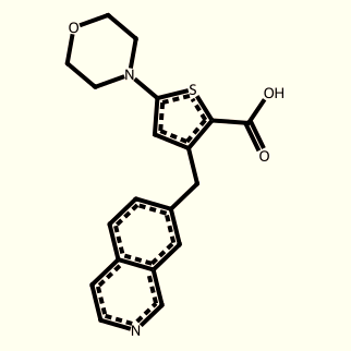 O=C(O)c1sc(N2CCOCC2)cc1Cc1ccc2ccncc2c1